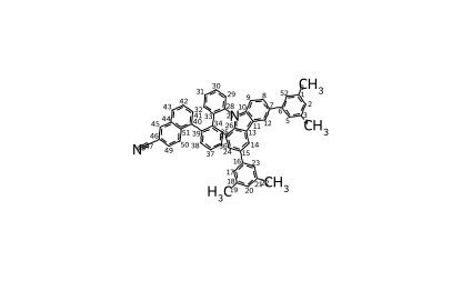 Cc1cc(C)cc(-c2ccc3c(c2)c2cc(-c4cc(C)cc(C)c4)ccc2n3-c2ccccc2-c2ccccc2-c2cccc3cc(C#N)ccc23)c1